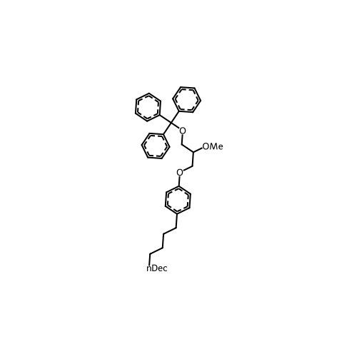 CCCCCCCCCCCCCCc1ccc(OCC(COC(c2ccccc2)(c2ccccc2)c2ccccc2)OC)cc1